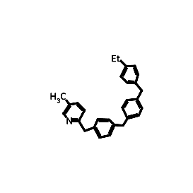 CCc1ccc(Cc2ccc(Cc3ccc(Cc4ccc(C)cn4)cc3)cc2)cc1